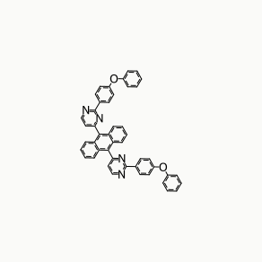 c1ccc(Oc2ccc(-c3nccc(-c4c5ccccc5c(-c5ccnc(-c6ccc(Oc7ccccc7)cc6)n5)c5ccccc45)n3)cc2)cc1